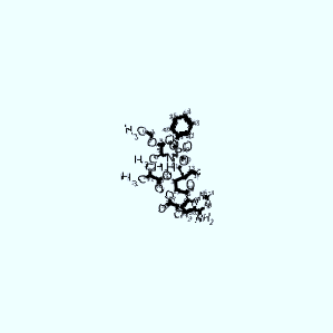 CCOC(=O)[C@H](C)NP(=O)(OC[C@@]1(CF)O[C@@H](c2ccc3c(N)ncnn23)[C@H](OC(=O)CC)[C@@H]1OC(=O)C(C)C)Oc1ccccc1